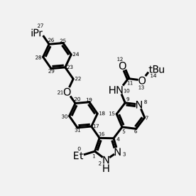 CCc1[nH]nc(-c2ccnc(NC(=O)OC(C)(C)C)c2)c1-c1ccc(OCc2ccc(C(C)C)cc2)cc1